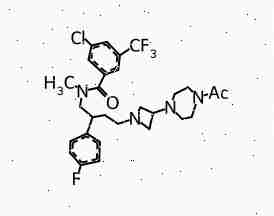 CC(=O)N1CCN(C2CN(CCC(CN(C)C(=O)c3cc(Cl)cc(C(F)(F)F)c3)c3ccc(F)cc3)C2)CC1